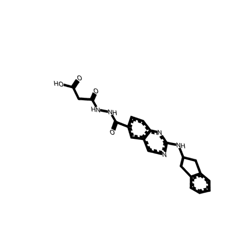 O=C(O)CC(=O)NNC(=O)c1ccc2nc(NC3Cc4ccccc4C3)ncc2c1